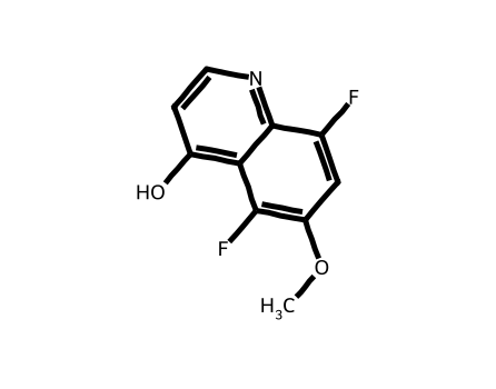 COc1cc(F)c2nccc(O)c2c1F